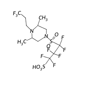 CC1CN(S(=O)(=O)C(F)(F)C(F)(F)C(F)(F)S(=O)(=O)O)CC(C)N1CCC(F)(F)F